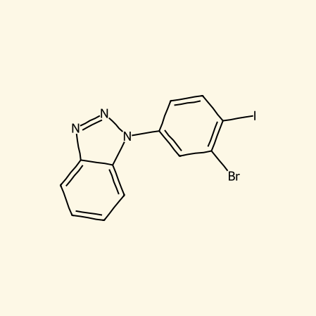 Brc1cc(-n2nnc3ccccc32)ccc1I